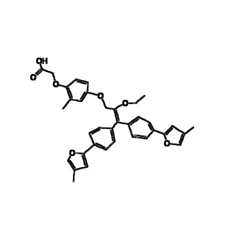 CCOC(COc1ccc(OCC(=O)O)c(C)c1)=C(c1ccc(-c2cc(C)co2)cc1)c1ccc(-c2cc(C)co2)cc1